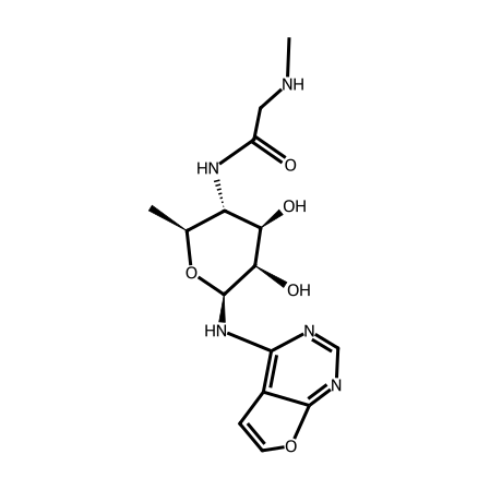 CNCC(=O)N[C@@H]1[C@@H](O)[C@@H](O)[C@@H](Nc2ncnc3occc23)O[C@H]1C